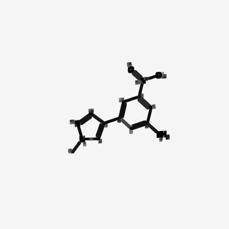 Cn1cc(-c2cc(N)cc([N+](=O)[O-])c2)cn1